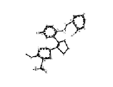 CCc1ncc(C2=C(c3cc(Cl)ccc3OCc3ccccc3F)CCC2)cc1C(=O)O